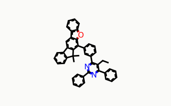 CCc1c(-c2ccccc2)nc(-c2ccccc2)nc1-c1cccc(-c2c3c(cc4c2oc2ccccc24)-c2ccccc2C3(C)C)c1